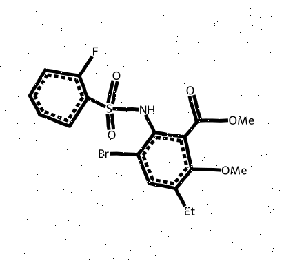 CCc1cc(Br)c(NS(=O)(=O)c2ccccc2F)c(C(=O)OC)c1OC